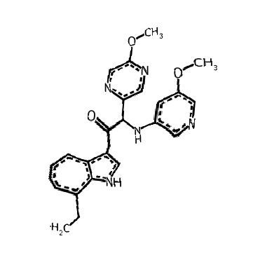 [CH2]Cc1cccc2c(C(=O)C(Nc3cncc(OC)c3)c3cnc(OC)cn3)c[nH]c12